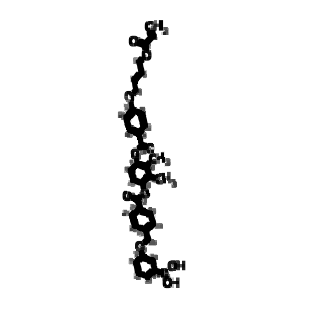 C=CC(=O)OCCCCOc1ccc(C(=O)Oc2ccc(OC(=O)c3ccc(COc4cccc(B(O)O)c4)cc3)c(C)c2C)cc1